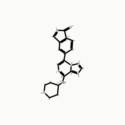 O=C1N=Cc2cc(-c3cnc(NC4CCOCC4)c4ncnn34)ccc21